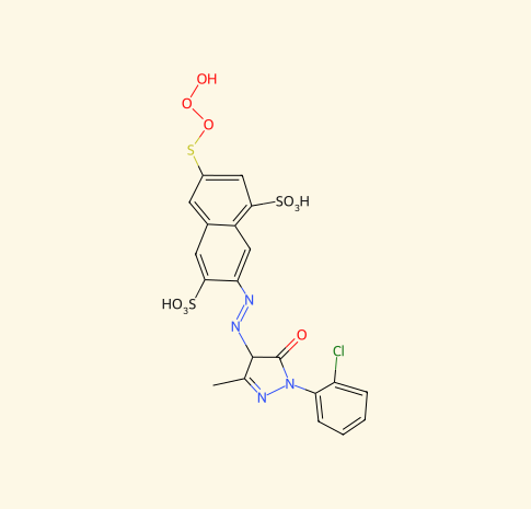 CC1=NN(c2ccccc2Cl)C(=O)C1N=Nc1cc2c(S(=O)(=O)O)cc(SOOO)cc2cc1S(=O)(=O)O